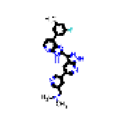 Cc1cc(F)cc(-c2ccnc3[nH]c(-c4n[nH]c5ncc(-c6cncc(CN(C)C)c6)cc45)nc23)c1